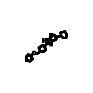 c1ccc(OCc2ccc(-c3nc4cc(C5CCCCC5)cnc4[nH]3)cc2)cc1